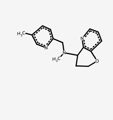 Cc1ccc(CN(C)C2CCOc3cccnc32)nc1